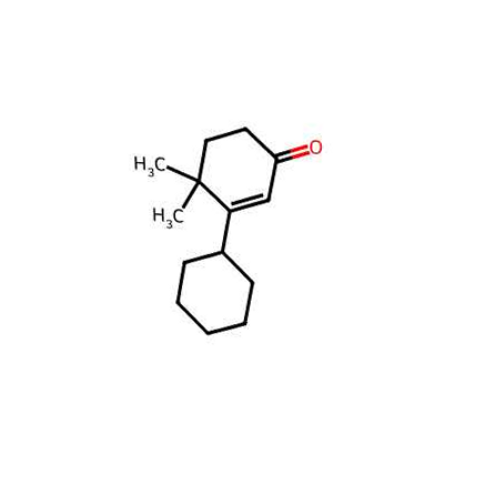 CC1(C)CCC(=O)C=C1C1CCCCC1